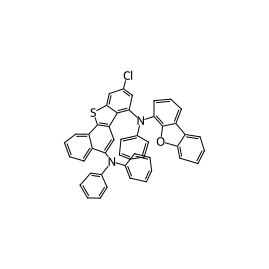 Clc1cc(N(c2ccccc2)c2cccc3c2oc2ccccc23)c2c(c1)sc1c3ccccc3c(N(c3ccccc3)c3ccccc3)cc12